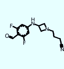 N#CCCCN1CC(Nc2cc(F)c(C=O)c(F)c2)C1